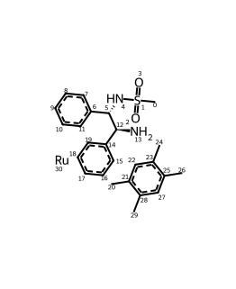 CS(=O)(=O)N[C@@H](c1ccccc1)[C@@H](N)c1ccccc1.Cc1cc(C)c(C)cc1C.[Ru]